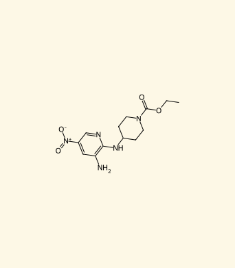 CCOC(=O)N1CCC(Nc2ncc([N+](=O)[O-])cc2N)CC1